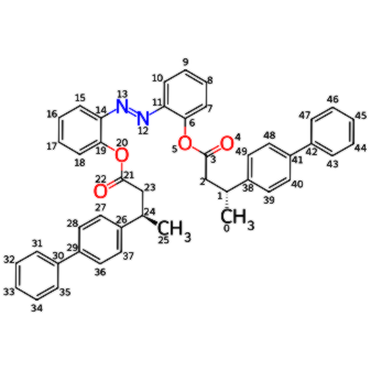 C[C@H](CC(=O)Oc1ccccc1N=Nc1ccccc1OC(=O)C[C@@H](C)c1ccc(-c2ccccc2)cc1)c1ccc(-c2ccccc2)cc1